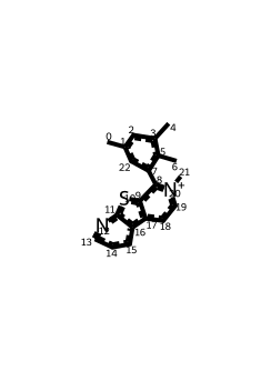 Cc1cc(C)c(C)c(-c2c3sc4ncccc4c3cc[n+]2C)c1